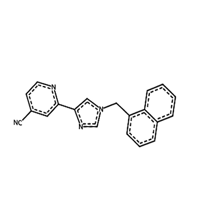 N#Cc1ccnc(-c2cn(Cc3cccc4ccccc34)cn2)c1